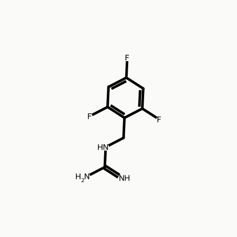 N=C(N)NCc1c(F)cc(F)cc1F